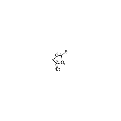 CCC1OC[C@H](CC)O1